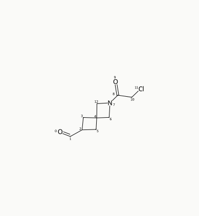 O=CC1CC2(C1)CN(C(=O)CCl)C2